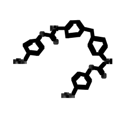 CCCCCCCCCc1ccc(OC(=O)Nc2ccc(Cc3ccc(NC(=O)Oc4ccc(CCCCCCCCC)cc4)cc3)cc2)cc1